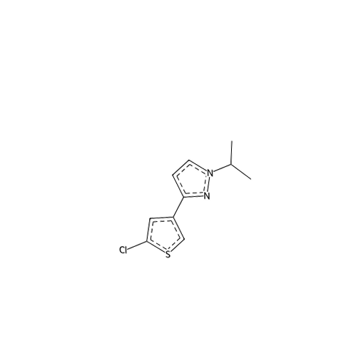 CC(C)n1ccc(-c2csc(Cl)c2)n1